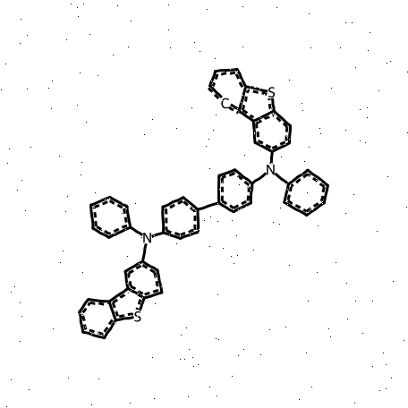 c1ccc(N(c2ccc(-c3ccc(N(c4ccccc4)c4ccc5sc6ccccc6c5c4)cc3)cc2)c2ccc3sc4ccccc4c3c2)cc1